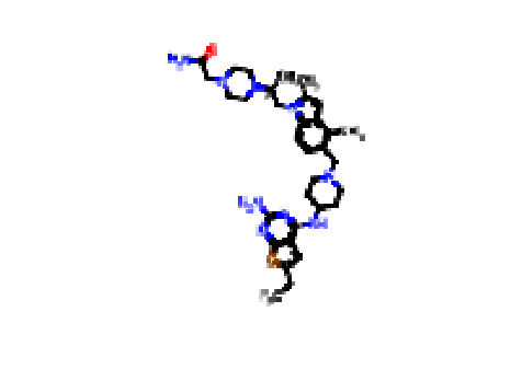 Cc1c(CN2CCC(Nc3nc(N)nc4sc(CC(F)(F)F)cc34)CC2)ccc2c1cc(C)n2C[C@H](C)N1CCN(CC(N)=O)CC1